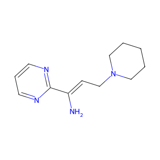 NC(=CCN1CCCCC1)c1ncccn1